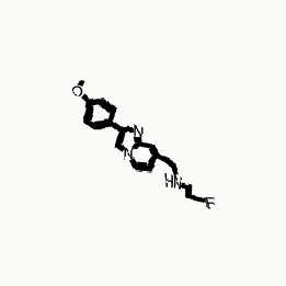 COc1ccc(-c2cn3ccc(CNCCF)cc3n2)cc1